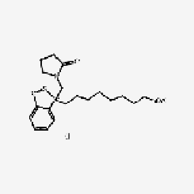 CCCCCCCCCCCCCCCCCC[N+]1(CN2CCCC2=O)SOc2ccccc21.[Cl-]